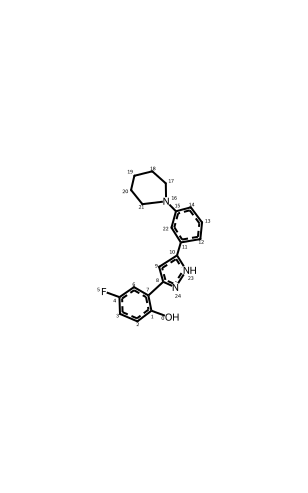 Oc1ccc(F)cc1-c1cc(-c2cccc(N3CCCCC3)c2)[nH]n1